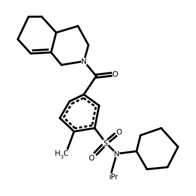 Cc1ccc(C(=O)N2CCC3CCCC=C3C2)cc1S(=O)(=O)N(C(C)C)C1CCCCC1